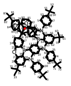 CC(C)(C)c1ccc(N2c3cc4c(cc3B3c5cc(C(C)(C)C)ccc5Oc5cc(C(C)(C)C)cc2c53)B2c3cc5c(cc3N(c3ccc(C(C)(C)C)cc3)c3cc(C(C)(C)C)cc(c32)N4c2ccc(C(C)(C)C)cc2)Oc2cc(C(C)(C)C)cc3c2B5c2c(cccc2C(C)(C)C)O3)cc1